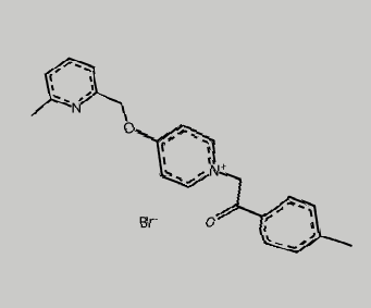 Cc1ccc(C(=O)C[n+]2ccc(OCc3cccc(C)n3)cc2)cc1.[Br-]